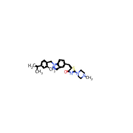 C=C(C)c1ccc(Cn2ncc3cc(C=C4SC(N5CCN(C)CC5)=NC4=O)ccc32)c(C(F)(F)F)c1